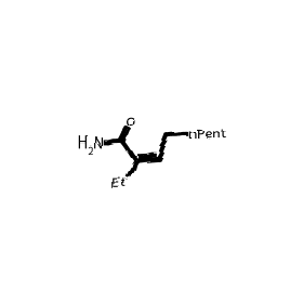 CCCCCC/C=C(/CC)C(N)=O